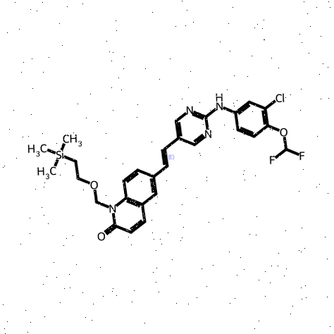 C[Si](C)(C)CCOCn1c(=O)ccc2cc(/C=C/c3cnc(Nc4ccc(OC(F)F)c(Cl)c4)nc3)ccc21